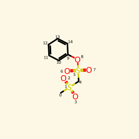 CS(=O)(=O)CS(=O)(=O)Oc1ccccc1